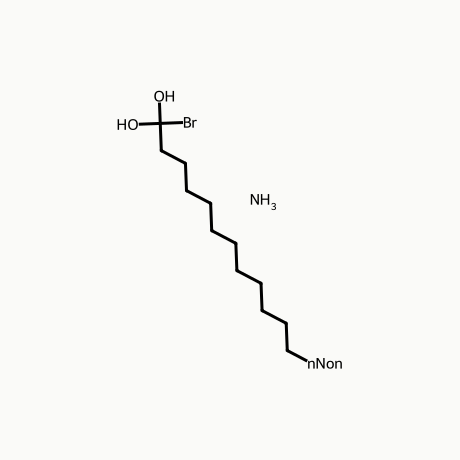 CCCCCCCCCCCCCCCCCCCCC(O)(O)Br.N